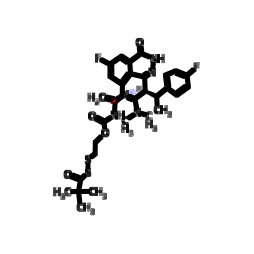 C=C/N=C(/[C@@H](c1n[nH]c(=O)c2cc(F)cc(CCNC(=O)OCCSSC(=O)C(C)(C)C)c12)C(C)c1ccc(F)cc1)N(C)C